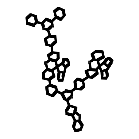 c1ccc(-c2cc(-c3ccccn3)nc(-c3ccc(-c4ccc5c(c4)Oc4ccc(-c6cccc(-c7cc(-c8ccc9c(c8)sc8ccccc89)nc(-c8ccc(-c9ccc%10c(c9)Oc9ccccc9C%109c%10ccccc%10-c%10ccccc%109)cc8)n7)c6)cc4C54c5ccccc5-c5ccccc54)cc3)n2)cc1